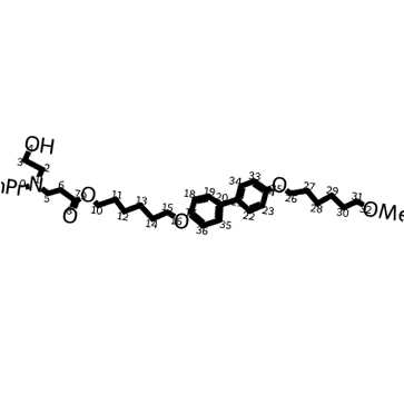 CCCN(CCO)CCC(=O)OCCCCCCOc1ccc(-c2ccc(OCCCCCCOC)cc2)cc1